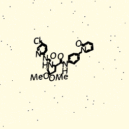 COC1(OC)CC(C(=O)Nc2ccc(-n3ccccc3=O)cc2)N(C(=O)Nc2ccc(Cl)cn2)C1